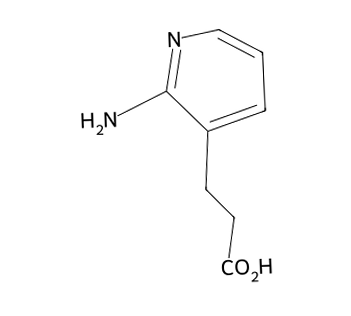 Nc1ncccc1CCC(=O)O